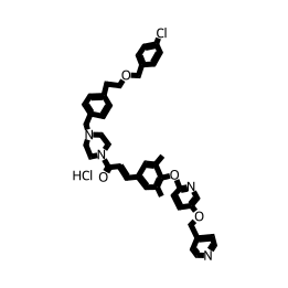 Cc1cc(C=CC(=O)N2CCN(Cc3ccc(CCOCc4ccc(Cl)cc4)cc3)CC2)cc(C)c1Oc1ccc(OCc2ccncc2)cn1.Cl